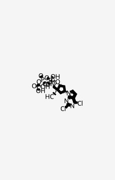 C#C[C@@]1(COP(=O)(O)OP(=O)(O)OP(=O)(O)O)C[C@H](n2ccc3c(Cl)nc(Cl)nc32)C[C@H]1O